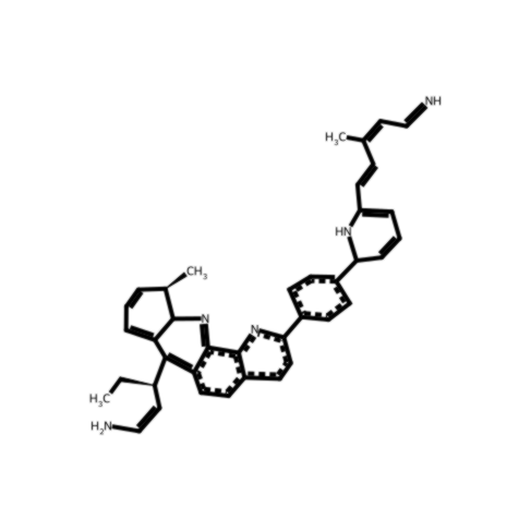 CC[C@H](/C=C\N)C1=c2ccc3ccc(-c4ccc(C5C=CC=C(/C=C/C(C)=C\C=N)N5)cc4)nc3c2=NC2C1=CC=C[C@H]2C